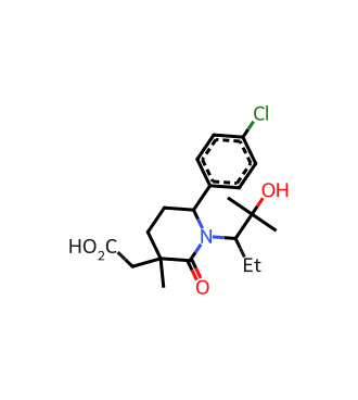 CCC(N1C(=O)C(C)(CC(=O)O)CCC1c1ccc(Cl)cc1)C(C)(C)O